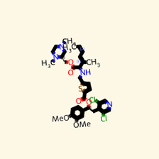 C/C=C\C=C(/C)C(NCc1ccc(C(=O)O[C@@H](Cc2c(Cl)cncc2Cl)c2ccc(OC)c(OC)c2)s1)C(=O)OC[C@H]1CN(C)CCN1C